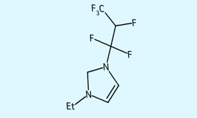 CCN1C=CN(C(F)(F)C(F)C(F)(F)F)C1